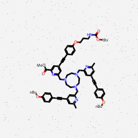 CCCCOc1ccc(C#Cc2cc(C)nc(CN3CCN(Cc4cc(C#Cc5ccc(OCCCC)cc5)cc(C)n4)CCN(Cc4cc(C#Cc5ccc(OCCCNC(=O)OC(C)(C)C)cc5)cc(C(=O)OC)n4)CC3)c2)cc1